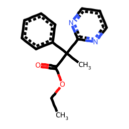 CCOC(=O)C(C)(c1ccccc1)c1ncccn1